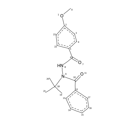 COc1ccc(C(=O)NN(C(=O)c2ccccc2)C(C)(C)C)cc1